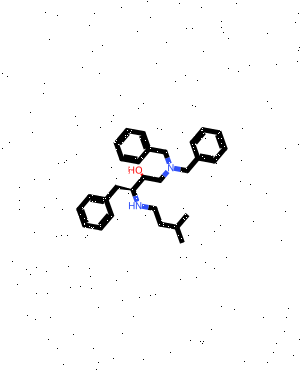 CC(C)CCN[C@@H](Cc1ccccc1)[C@H](O)CN(Cc1ccccc1)Cc1ccccc1